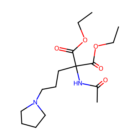 CCOC(=O)C(CCCN1CCCC1)(NC(C)=O)C(=O)OCC